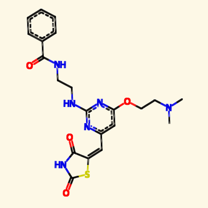 CN(C)CCOc1cc(C=C2SC(=O)NC2=O)nc(NCCNC(=O)c2ccccc2)n1